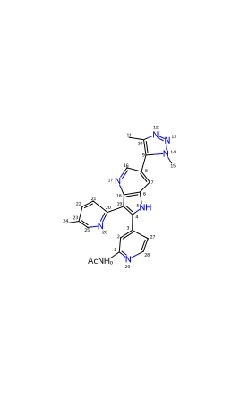 CC(=O)Nc1cc(-c2[nH]c3cc(-c4c(C)nnn4C)cnc3c2-c2ccc(C)cn2)ccn1